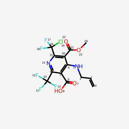 C=CCNc1c(C(=O)O)c(C(F)(F)F)nc(C(F)(F)Cl)c1C(=O)OC